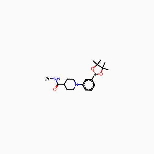 CC(C)NC(=O)C1CCN(c2cccc(B3OC(C)(C)C(C)(C)O3)c2)CC1